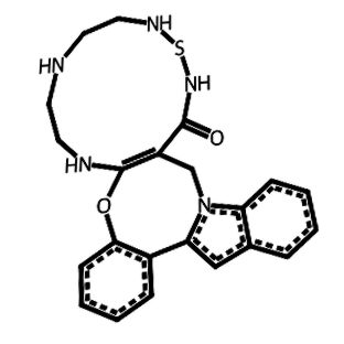 O=C1NSNCCNCCN/C2=C\1Cn1c(cc3ccccc31)-c1ccccc1O2